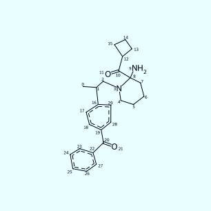 CC(CN1CCCCC1(N)C(=O)C1CCC1)c1ccc(C(=O)c2ccccc2)cc1